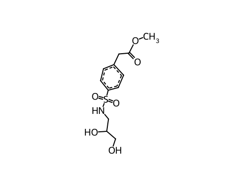 COC(=O)Cc1ccc(S(=O)(=O)NCC(O)CO)cc1